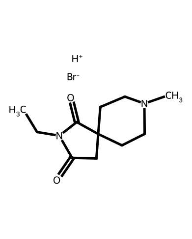 CCN1C(=O)CC2(CCN(C)CC2)C1=O.[Br-].[H+]